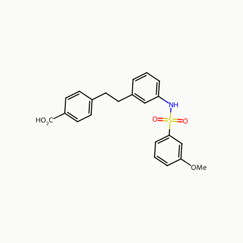 COc1cccc(S(=O)(=O)Nc2cccc(CCc3ccc(C(=O)O)cc3)c2)c1